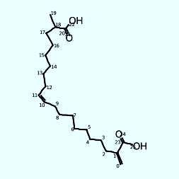 C=C(CCCCCCCC/C=C\CCCCCCC(C)C(=O)O)C(=O)O